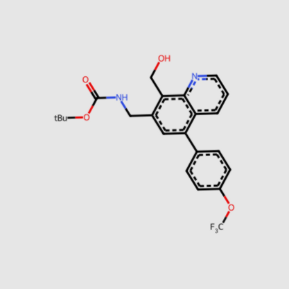 CC(C)(C)OC(=O)NCc1cc(-c2ccc(OC(F)(F)F)cc2)c2cccnc2c1CO